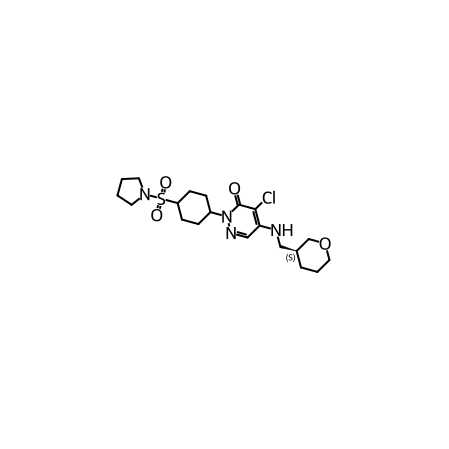 O=c1c(Cl)c(NC[C@@H]2CCCOC2)cnn1C1CCC(S(=O)(=O)N2CCCC2)CC1